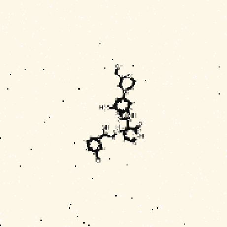 Cc1cc(N2CCO[C@H](CO)C2)cc2[nH]c(-c3c(NC[C@H](O)c4cccc(Cl)c4)cc[nH]c3=O)nc12